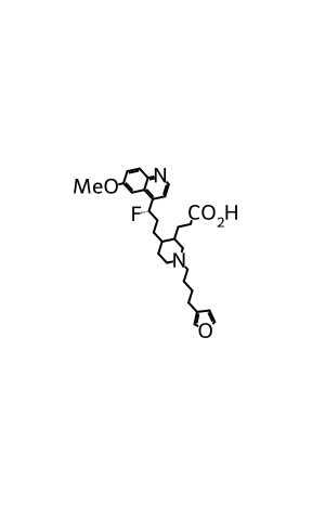 COc1ccc2nccc([C@@H](F)CCC3CCN(CCCCc4ccoc4)CC3CCC(=O)O)c2c1